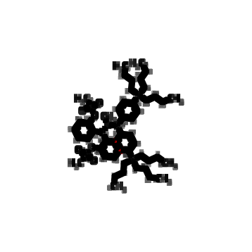 CCCC[Si](CCCC)(CCCC)c1ccc(P(c2ccc([Si](CCCC)(CCCC)CCCC)cc2)N(C)P(c2ccccc2OS(C)(=O)=O)c2ccccc2OS(C)(=O)=O)cc1